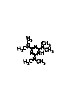 CN(C)C1=NC(N(C)C)NC(N(C)C)=N1